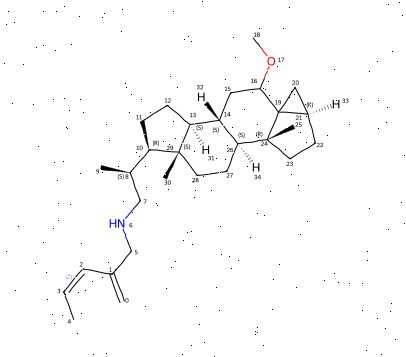 C=C(/C=C\C)CNC[C@@H](C)[C@H]1CC[C@H]2[C@@H]3CC(OC)C45C[C@H]4CC[C@]5(C)[C@H]3CC[C@]12C